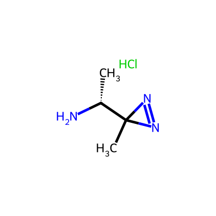 C[C@@H](N)C1(C)N=N1.Cl